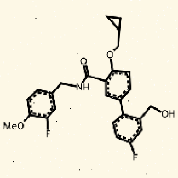 COc1ccc(CNC(=O)c2cc(-c3ccc(F)cc3CO)ccc2OCC2CC2)cc1F